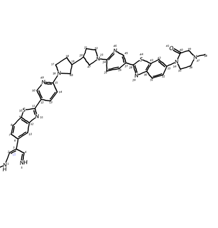 CN/C=C(\C=N)c1ccc2sc(-c3ccc(N4CCC(C5CCN(c6ccc(-c7nc8ccc(N9CCN(C)CC9=O)cc8s7)cn6)C5)C4)nc3)nc2c1